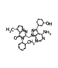 Cc1ccccc1-n1c(Cn2nc(-c3cccc(O)c3)c3c(N)ncnc32)nn2ccc(C)c2c1=O